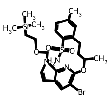 Cc1ccc(S(N)(=O)=O)c(CCC(C)Oc2nc3c(ccn3COCC[Si](C)(C)C)cc2Br)c1